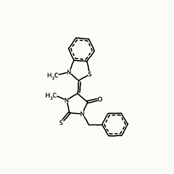 CN1C(=S)N(Cc2ccccc2)C(=O)C1=C1Sc2ccccc2N1C